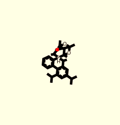 CC(C)c1cc(C(C)C)c2c(c1)C(C)[PH]1(c3ccccc3-2)C2(C)CC3(C)OC(C)(CC1(C)O3)O2